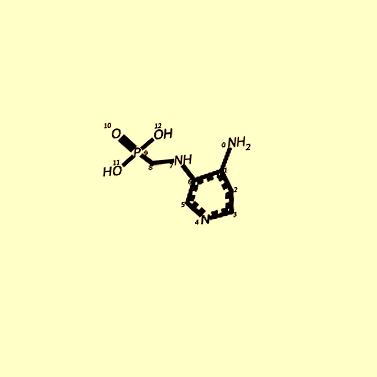 Nc1ccncc1NCP(=O)(O)O